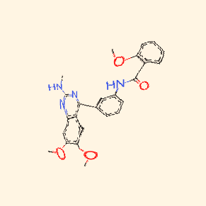 CNc1nc(-c2cccc(NC(=O)c3ccccc3OC)c2)c2cc(OC)c(OC)cc2n1